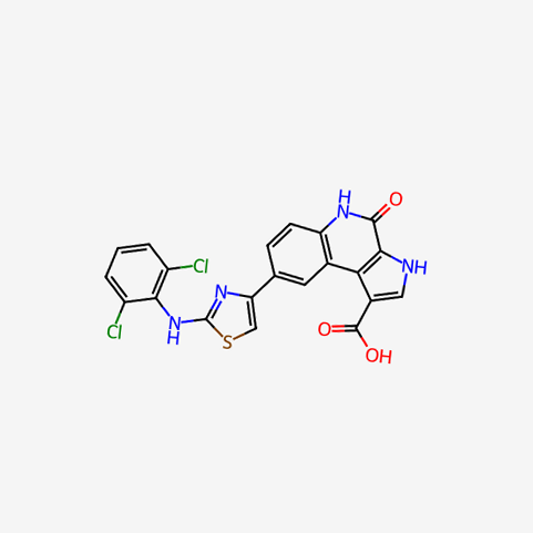 O=C(O)c1c[nH]c2c(=O)[nH]c3ccc(-c4csc(Nc5c(Cl)cccc5Cl)n4)cc3c12